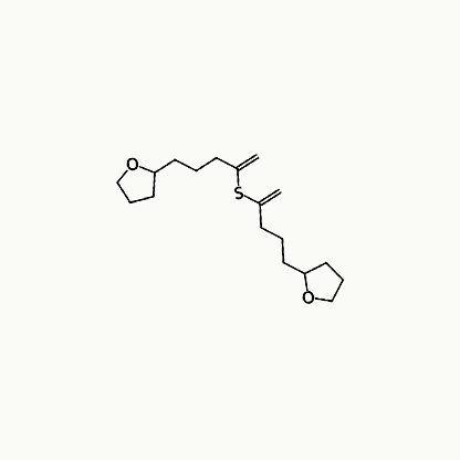 C=C(CCCC1CCCO1)SC(=C)CCCC1CCCO1